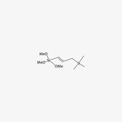 CO[Si](/C=C/C[Si](C)(C)C)(OC)OC